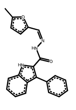 Cc1ccc(/C=N\NC(=O)c2[nH]c3ccccc3c2-c2ccccc2)o1